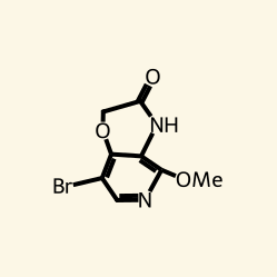 COc1ncc(Br)c2c1NC(=O)CO2